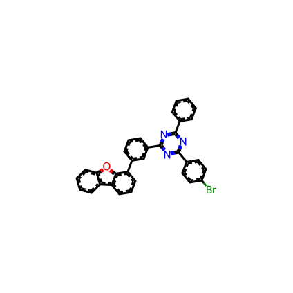 Brc1ccc(-c2nc(-c3ccccc3)nc(-c3cccc(-c4cccc5c4oc4ccccc45)c3)n2)cc1